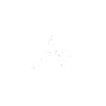 C1=CC(c2ccc(C3=CC(n4c5ccccc5c5c6occc6ccc54)=NC(C4=CCNC=C4)N3)cc2)=CCN1